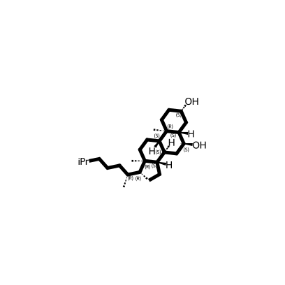 CC(C)CCC[C@@H](C)[C@H]1CC[C@H]2[C@@H]3C[C@H](O)[C@H]4C[C@@H](O)CC[C@]4(C)[C@H]3CC[C@]12C